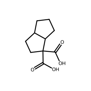 O=C(O)C1(C(=O)O)CCC2CCCC21